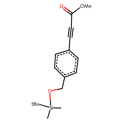 COC(=O)C#Cc1ccc(CO[Si](C)(C)C(C)(C)C)cc1